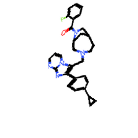 O=C(c1ccccc1F)N1CC2CCN(Cc3c(-c4ccc(C5CC5)cc4)nc4ncccn34)CC1C2